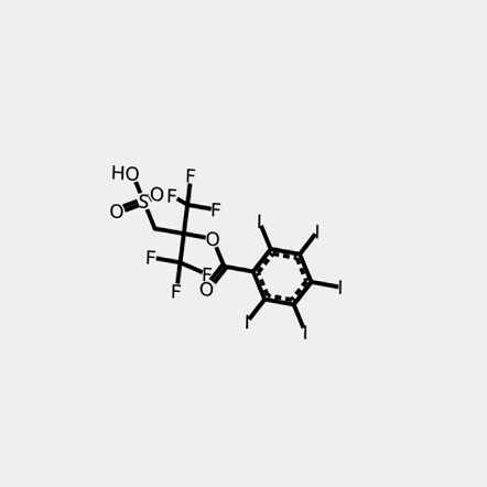 O=C(OC(CS(=O)(=O)O)(C(F)(F)F)C(F)(F)F)c1c(I)c(I)c(I)c(I)c1I